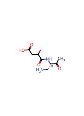 CC(=O)[C@H](CN)NC(=O)C(I)CC(=O)O